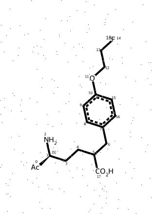 CC(=O)[C@@H](N)CCC(Cc1ccc(OCC[18F])cc1)C(=O)O